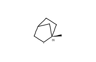 C[C@]12[CH]CC(CC1)C2